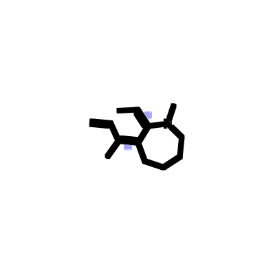 C=C/C(C)=C1/CCCCN(C)/C1=C/C